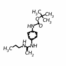 C=C(NCCC)Nc1ccc(NC(=O)OC(C)(C)C)cc1